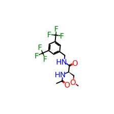 COC[C@@H](NC(C)=O)C(=O)NCc1cc(C(F)(F)F)cc(C(F)(F)F)c1